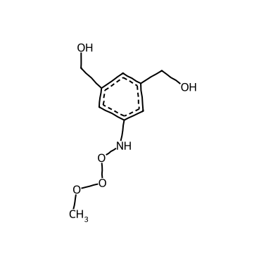 COOONc1cc(CO)cc(CO)c1